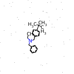 CCN(Cc1ccccc1)Cc1ccc(C(C)(C)C)cc1